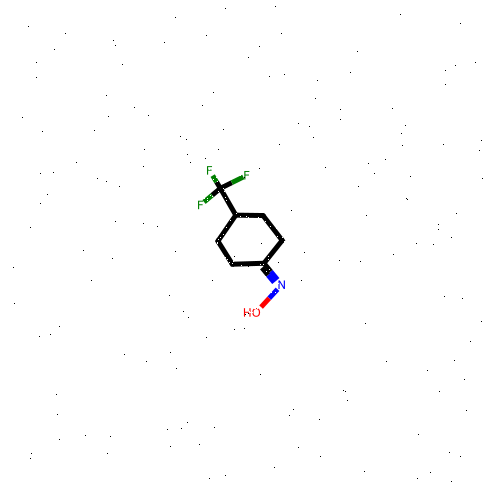 ON=C1CCC(C(F)(F)F)CC1